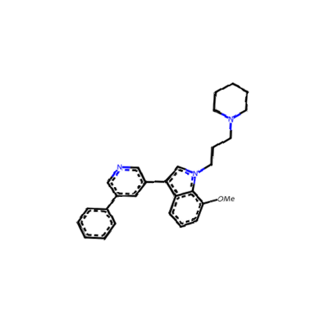 COc1cccc2c(-c3cncc(-c4ccccc4)c3)cn(CCCN3CCCCC3)c12